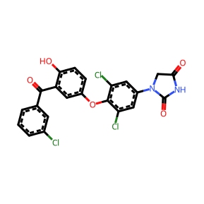 O=C1CN(c2cc(Cl)c(Oc3ccc(O)c(C(=O)c4cccc(Cl)c4)c3)c(Cl)c2)C(=O)N1